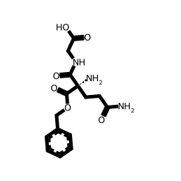 NC(=O)CC[C@](N)(C(=O)NCC(=O)O)C(=O)OCc1ccccc1